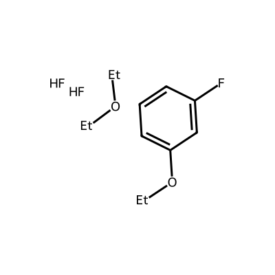 CCOCC.CCOc1cccc(F)c1.F.F